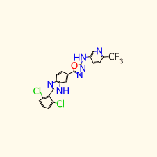 FC(F)(F)c1ccc(Nc2nnc(-c3ccc4nc(-c5c(Cl)cccc5Cl)[nH]c4c3)o2)cn1